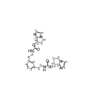 O=C(NCCc1cccc(CCNC(=O)O[C@@H]2CCn3ccnc32)c1)O[C@@H]1CCn2ccnc21